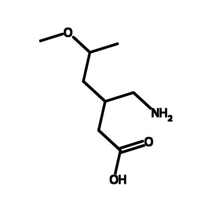 COC(C)CC(CN)CC(=O)O